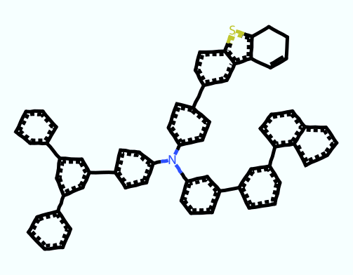 C1=Cc2c(sc3ccc(-c4ccc(N(c5ccc(-c6cc(-c7ccccc7)cc(-c7ccccc7)c6)cc5)c5cccc(-c6cccc(-c7cccc8ccccc78)c6)c5)cc4)cc23)CC1